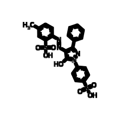 Cc1ccc(N=Nc2c(-c3ccccc3)nn(-c3ccc(S(=O)(=O)O)cc3)c2O)c(S(=O)(=O)O)c1